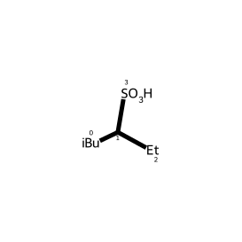 CCC(C)C(CC)S(=O)(=O)O